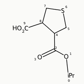 CC(C)OC(=O)C1CSCC1C(=O)O